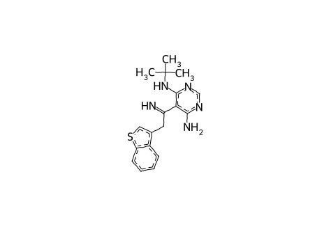 CC(C)(C)Nc1ncnc(N)c1C(=N)Cc1csc2ccccc12